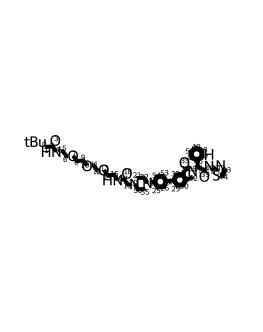 CC(C)(C)CC(=O)NCCOCCOCCOCCNC(=O)CN1CCN(c2ccc(-c3ccc4c(c3)C(=O)N(C(C(=O)Nc3nccs3)c3ccccc3)C4)cc2)CC1